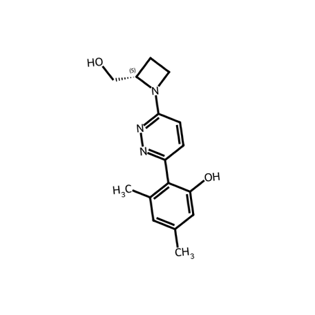 Cc1cc(C)c(-c2ccc(N3CC[C@H]3CO)nn2)c(O)c1